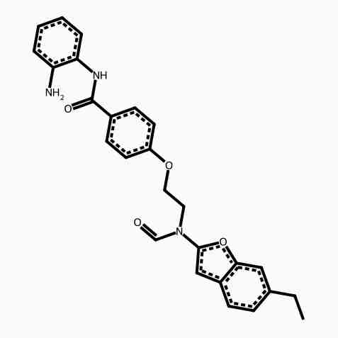 CCc1ccc2cc(N(C=O)CCOc3ccc(C(=O)Nc4ccccc4N)cc3)oc2c1